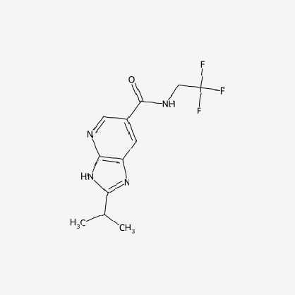 CC(C)c1nc2cc(C(=O)NCC(F)(F)F)cnc2[nH]1